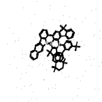 CC(C)(C)c1ccc(N2C3=C(B4c5c(cc6c(c52)-c2ccccc2C6(C)C)-c2cccc5c6cc7ccccc7cc6n4c25)C(C)(C)c2cc4c(cc23)C(C)(C)CCC4(C)C)c(-c2ccccc2)c1